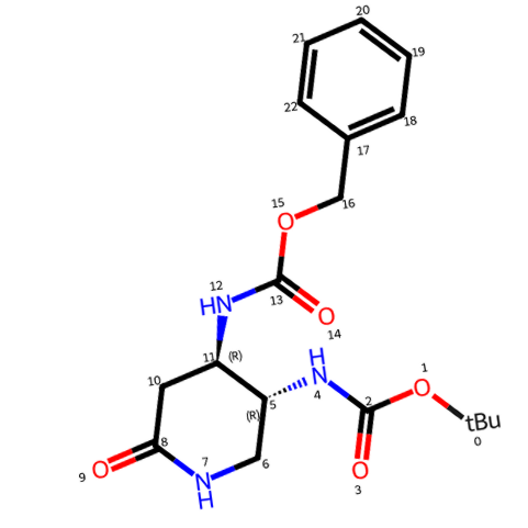 CC(C)(C)OC(=O)N[C@@H]1CNC(=O)C[C@H]1NC(=O)OCc1ccccc1